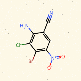 N#Cc1cc([N+](=O)[O-])c(Br)c(Cl)c1N